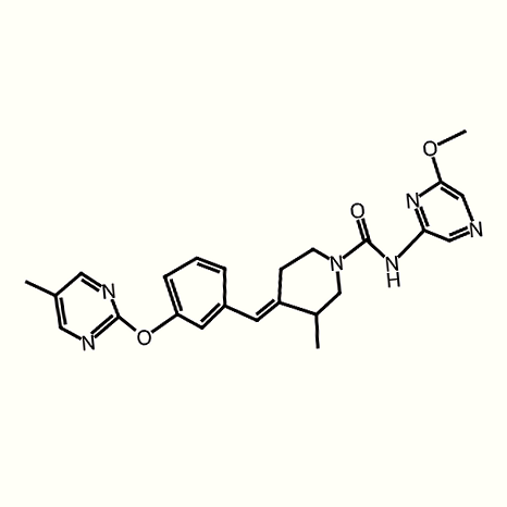 COc1cncc(NC(=O)N2CC/C(=C\c3cccc(Oc4ncc(C)cn4)c3)C(C)C2)n1